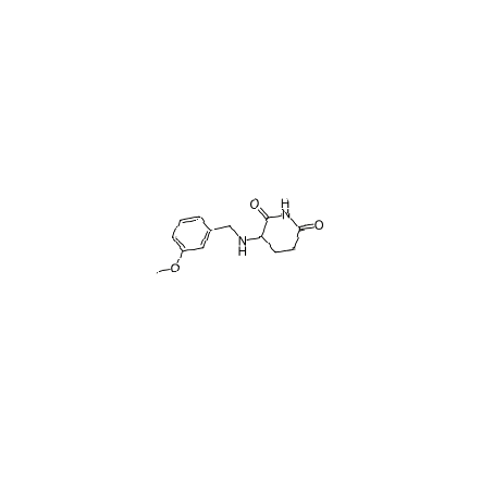 COc1cccc(CNC2CCC(=O)NC2=O)c1